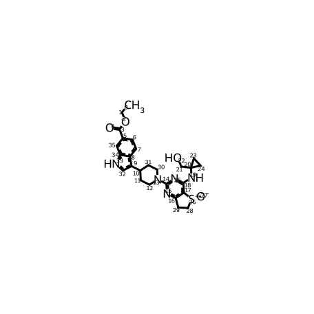 CCOC(=O)c1ccc2c(C3CCN(c4nc5c(c(NC6(CO)CC6)n4)[S+]([O-])CC5)CC3)c[nH]c2c1